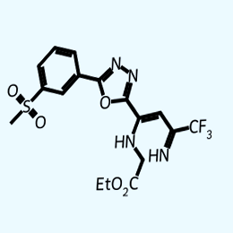 CCOC(=O)CN/C(=C\C(=N)C(F)(F)F)c1nnc(-c2cccc(S(C)(=O)=O)c2)o1